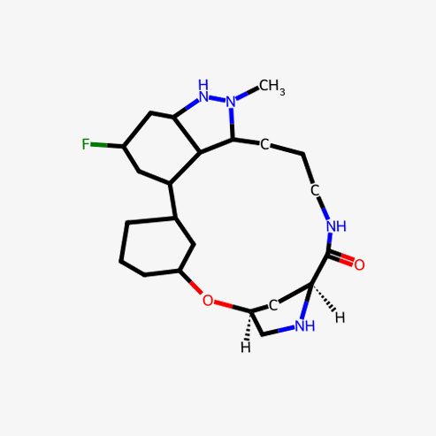 CN1NC2CC(F)CC3C4CCCC(C4)O[C@@H]4CN[C@@H](C4)C(=O)NCCCC1C23